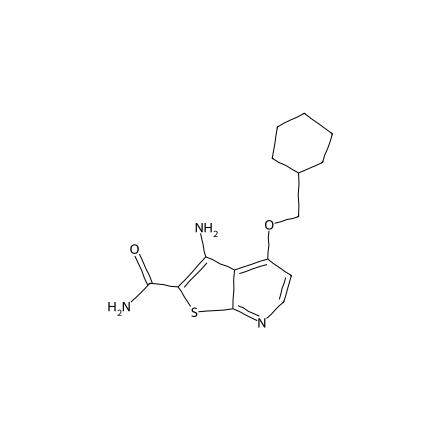 NC(=O)c1sc2nccc(OCC3CCCCC3)c2c1N